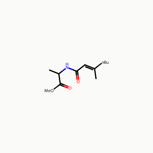 CCCC/C(C)=C/C(=O)NC(C)C(=O)OC